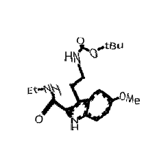 CCNC(=O)c1[nH]c2ccc(OC)cc2c1CCNC(=O)OC(C)(C)C